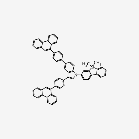 C[Si]1(C)c2ccccc2-c2ccc(-n3cc(-c4ccc(-c5cc6ccccc6c6ccccc56)cc4)c4cc(-c5ccc(-c6cc7ccccc7c7ccccc67)cc5)ccc43)cc21